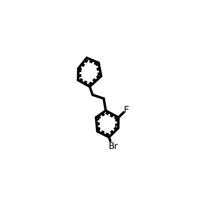 Fc1cc(Br)ccc1CCc1ccccc1